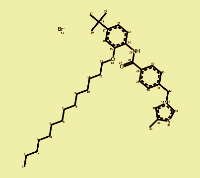 CCCCCCCCCCCCCCOc1cc(C(C)(C)C)ccc1NC(=O)c1ccc(C[n+]2csc(C)c2)cc1.[Br-]